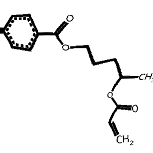 C=CC(=O)OC(C)CCCOC(=O)c1ccccc1